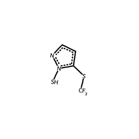 FC(F)(F)Sc1ccnn1S